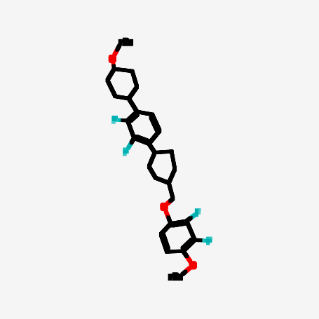 CCCCOc1ccc(OCC2CCC(c3ccc(C4CCC(OCCCC)CC4)c(F)c3F)CC2)c(F)c1F